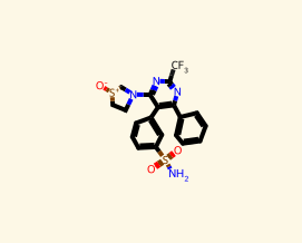 NS(=O)(=O)c1cccc(-c2c(-c3ccccc3)nc(C(F)(F)F)nc2N2CC[S+]([O-])C2)c1